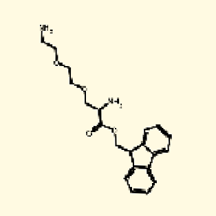 NCCOCCOCC(N)C(=O)OCC1c2ccccc2-c2ccccc21